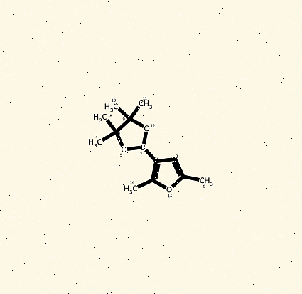 Cc1cc(B2OC(C)(C)C(C)(C)O2)c(C)o1